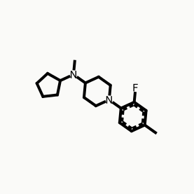 Cc1ccc(N2CCC(N(C)C3CCCC3)CC2)c(F)c1